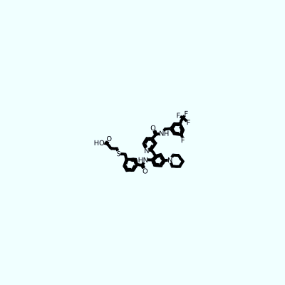 O=C(O)CCSCc1cccc(C(=O)Nc2ccc(N3CCCCC3)cc2-c2cc(C(=O)NCc3cc(F)cc(C(F)(F)F)c3)ccn2)c1